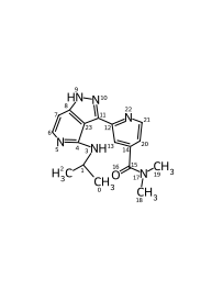 CC(C)Nc1nccc2[nH]nc(-c3cc(C(=O)N(C)C)ccn3)c12